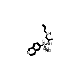 C=CCNCC(C)NS(=O)(=O)c1ccc2cnccc2c1.Cl.Cl